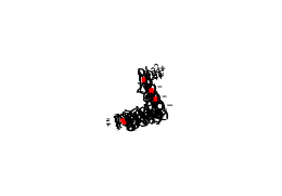 [Ni+2].[Ni+2].[Ni+2].[O]=[Nb](=[O])[O-].[O]=[Nb](=[O])[O-].[O]=[Nb](=[O])[O-].[O]=[Nb](=[O])[O-].[O]=[Zr]([O-])[O-].[O]=[Zr]([O-])[O-].[O]=[Zr]([O-])[O-].[O]=[Zr]([O-])[O-].[Pb+2].[Pb+2].[Pb+2].[Ti+4]